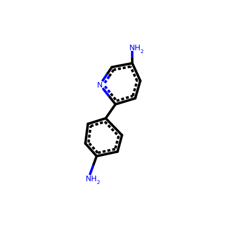 Nc1ccc(-c2ccc(N)cn2)cc1